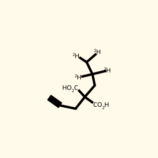 [2H]C([2H])C([2H])([2H])CC(CC#C)(C(=O)O)C(=O)O